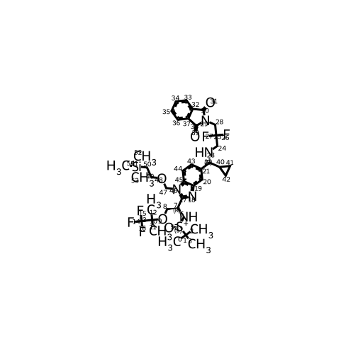 CC(C)(C)[S@@+]([O-])N[C@@H](COC(C)(C)C(F)(F)F)c1nc2cc([C@H](NCC(F)(F)CN3C(=O)c4ccccc4C3=O)C3CC3)ccc2n1COCC[Si](C)(C)C